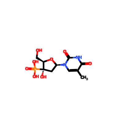 Cc1cn([C@H]2C[C@@](O)(P(=O)(O)O)[C@@H](CO)O2)c(=O)[nH]c1=O